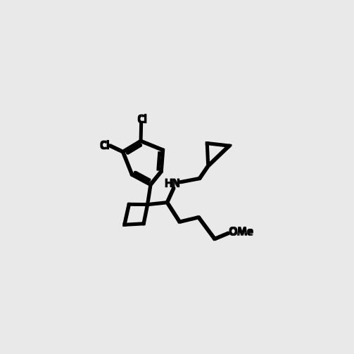 COCCCC(NCC1CC1)C1(c2ccc(Cl)c(Cl)c2)CCC1